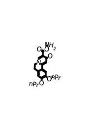 CCCOc1cc2c(cc1OCCC)-c1cc(=O)c(C(=O)ON)cn1CC2